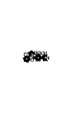 COc1cnccc1-c1ccc(C(=O)N2[C@@H](c3ccccc3Cl)CC[C@H]2C(=O)O)cc1